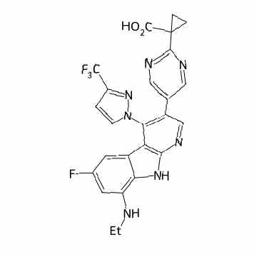 CCNc1cc(F)cc2c1[nH]c1ncc(-c3cnc(C4(C(=O)O)CC4)nc3)c(-n3ccc(C(F)(F)F)n3)c12